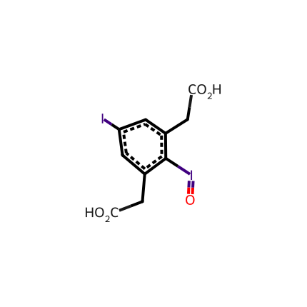 O=Ic1c(CC(=O)O)cc(I)cc1CC(=O)O